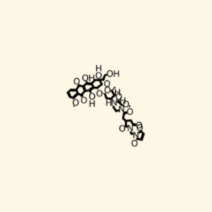 COc1cccc2c1C(=O)c1c(O)c3c(c(O)c1C2=O)C[C@@](O)(C(=O)CO)C[C@@H]3O[C@H]1C[C@H]2[C@H](O[C@@H]3C(OC)N(C(=O)CC4CC(=O)N(CN5C(=O)C=CC5=O)C4=O)CCN32)[C@H](C)O1